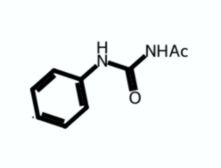 CC(=O)NC(=O)Nc1cc[c]cc1